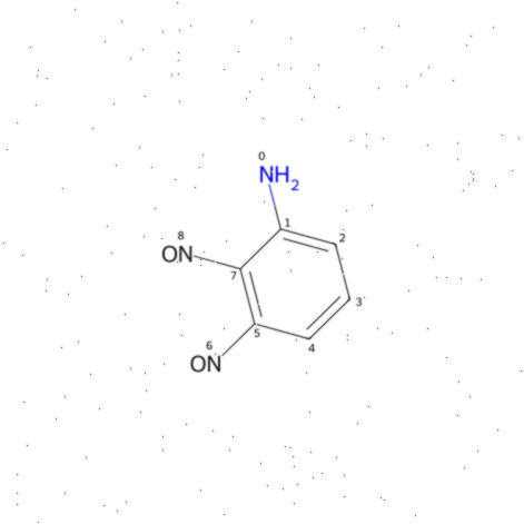 Nc1cccc(N=O)c1N=O